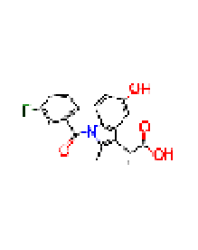 Cc1c([C@@H](C)C(=O)O)c2cc(O)ccc2n1C(=O)c1cccc(F)c1